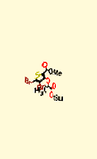 COC(=O)c1sc(Br)c(Br)c1OC(C)C(=O)OC(C)(C)C